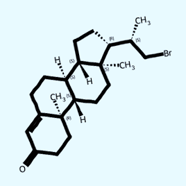 C[C@H](CBr)[C@H]1CC[C@H]2[C@@H]3CCC4=CC(=O)CC[C@]4(C)[C@H]3CC[C@]12C